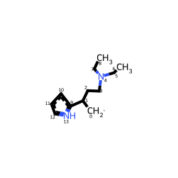 [CH2]C(CCN(CC)CC)c1ccc[nH]1